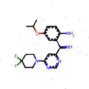 CC(C)Oc1ccc(N)c(C(=N)c2cc(N3CCC(F)(F)CC3)ncn2)c1